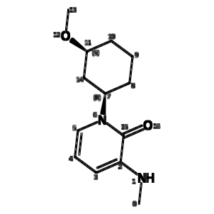 CNc1cccn([C@@H]2CCC[C@H](OC)C2)c1=O